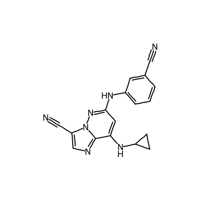 N#Cc1cccc(Nc2cc(NC3CC3)c3ncc(C#N)n3n2)c1